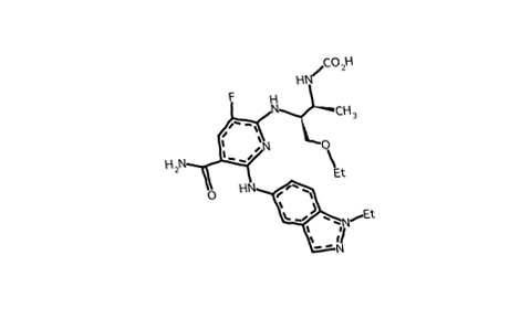 CCOC[C@@H](Nc1nc(Nc2ccc3c(cnn3CC)c2)c(C(N)=O)cc1F)[C@H](C)NC(=O)O